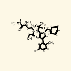 CNC(=O)[C@@H](N)CCN(C(=O)CO)[C@@H](c1cc(-c2cc(F)ccc2C)cn1Cc1ccccc1)C(C)(C)C